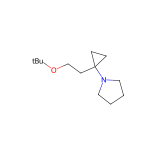 CC(C)(C)OCCC1(N2CCCC2)CC1